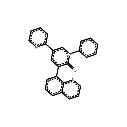 O=c1c(-c2cccc3cccnc23)cc(-c2ccccn2)cn1-c1ccccc1